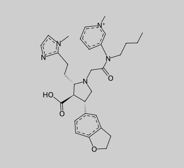 CCCCN(C(=O)CN1C[C@H](c2ccc3c(c2)CCO3)[C@@H](C(=O)O)[C@@H]1CCc1nccn1C)c1ccc[n+](C)c1